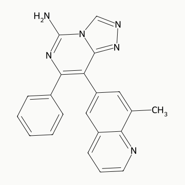 Cc1cc(-c2c(-c3ccccc3)nc(N)n3cnnc23)cc2cccnc12